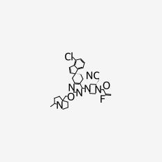 C=C(F)C(=O)N1CCN(c2nc(OCC34CCCN3C(C)CC4)nc3c2CC[C@@]2(C=Cc4c(Cl)cccc42)C3)C[C@@H]1CC#N